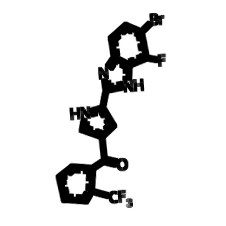 O=C(c1c[nH]c(-c2nc3ccc(Br)c(F)c3[nH]2)c1)c1ccccc1C(F)(F)F